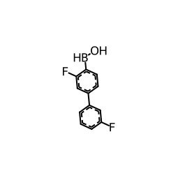 OBc1ccc(-c2cccc(F)c2)cc1F